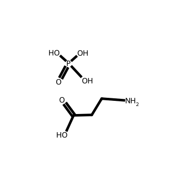 NCCC(=O)O.O=P(O)(O)O